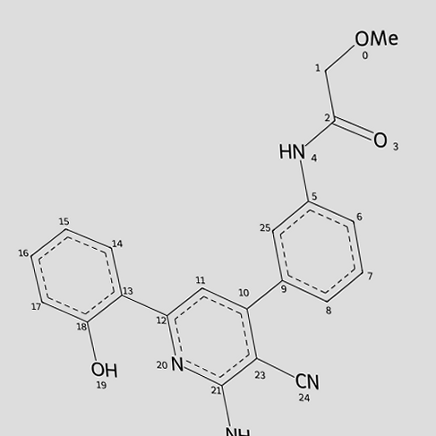 COCC(=O)Nc1cccc(-c2cc(-c3ccccc3O)nc(N)c2C#N)c1